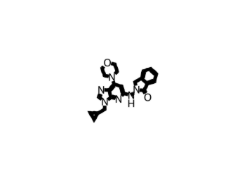 O=C1c2ccccc2CN1Nc1cc(N2CCOCC2)c2ncn(CC3CC3)c2n1